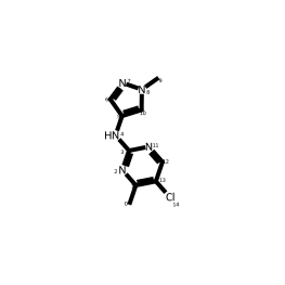 Cc1nc(Nc2cnn(C)c2)ncc1Cl